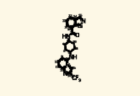 O=C(NC1CCC(Nc2cccc3nc(C(F)(F)F)cn23)CC1)c1cccc2cnsc12